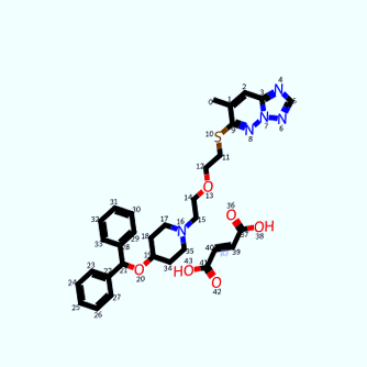 Cc1cc2ncnn2nc1SCCOCCN1CCC(OC(c2ccccc2)c2ccccc2)CC1.O=C(O)/C=C/C(=O)O